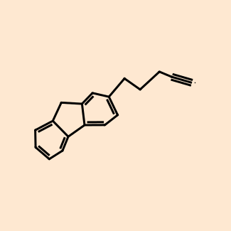 [C]#CCCCc1ccc2c(c1)Cc1ccccc1-2